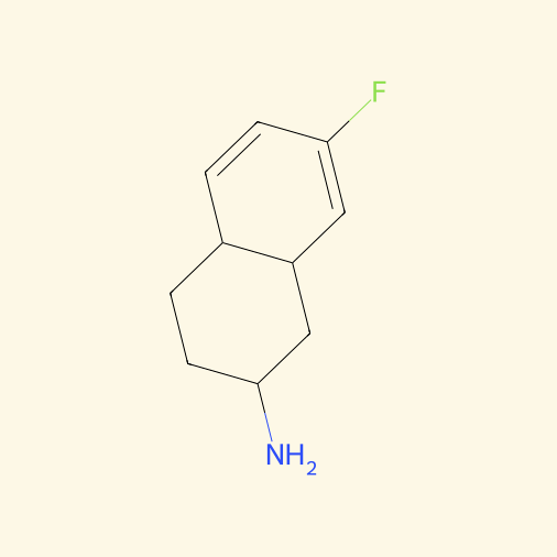 NC1CCC2C=CC(F)=CC2C1